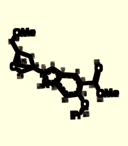 COCC12CC(n3cc4cc(C(=O)OC)c(OC(C)C)cc4n3)(CO1)C2